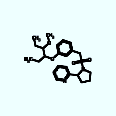 CCC(OC)C(CC)Oc1cccc(CS(=O)(=O)N2CCCC2c2ccccn2)c1